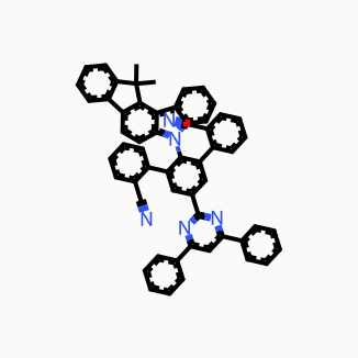 CC1(C)c2ccccc2-c2ccc3c(c21)c1ccccc1n3-c1c(-c2ccccc2C#N)cc(-c2nc(-c3ccccc3)cc(-c3ccccc3)n2)cc1-c1ccccc1C#N